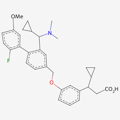 COc1ccc(F)c(-c2ccc(COc3cccc(C(CC(=O)O)C4CC4)c3)cc2C(C2CC2)N(C)C)c1